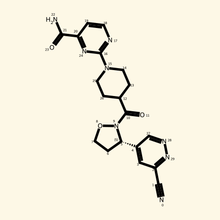 N#Cc1cc([C@@H]2CCON2C(=O)C2CCN(c3nccc(C(N)=O)n3)CC2)cnn1